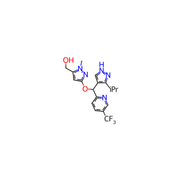 CC(C)c1n[nH]cc1C(Oc1cc(CO)n(C)n1)c1ccc(C(F)(F)F)cn1